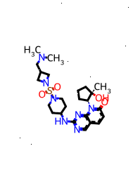 CN(C)CC1CN(S(=O)(=O)N2CCC(Nc3ncc4ccc(=O)n([C@@H]5CCC[C@@]5(C)O)c4n3)CC2)C1